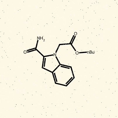 CCCCOC(=O)Cn1c(C(N)=O)cc2ccccc21